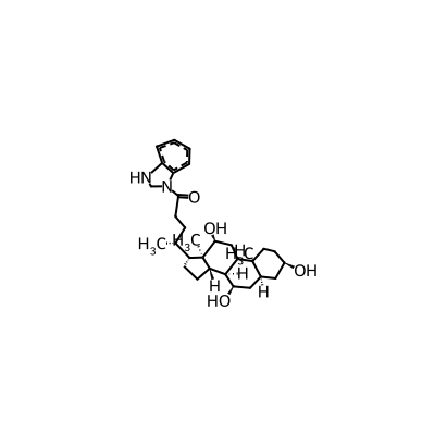 C[C@H](CCC(=O)N1CNc2ccccc21)[C@H]1CC[C@H]2[C@@H]3[C@H](O)C[C@@H]4C[C@H](O)CC[C@]4(C)[C@H]3C[C@H](O)[C@]12C